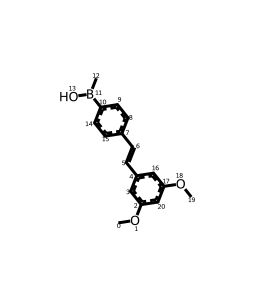 COc1cc(/C=C/c2ccc(B(C)O)cc2)cc(OC)c1